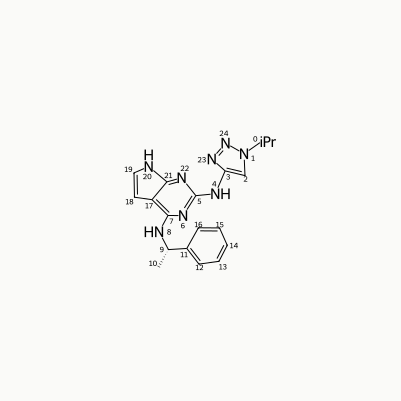 CC(C)n1cc(Nc2nc(N[C@@H](C)c3ccccc3)c3cc[nH]c3n2)nn1